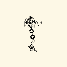 CC(C)(C)OC(=O)NC(C)(C)C(NC(=O)c1ccc(-c2ccc(OCCCS(C)(=O)=O)cc2)cc1)C(=O)O